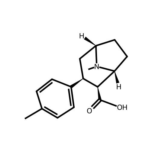 Cc1ccc([C@H]2C[C@@H]3CC[C@H]([C@H]2C(=O)O)N3C)cc1